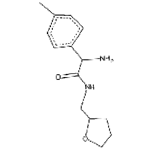 Cc1ccc(C(N)C(=O)NCC2CCCO2)cc1